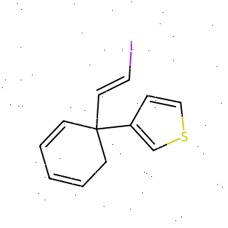 I/C=C/C1(c2ccsc2)C=CC=CC1